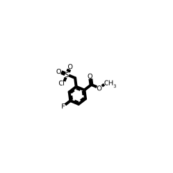 COC(=O)c1ccc(F)cc1CS(=O)(=O)Cl